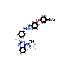 CN(C)c1nc(N[C@H]2CC[C@@H](CNCc3cccc(Oc4ccc(C(C)(C)C)cc4)c3)CC2)nc2ccccc12